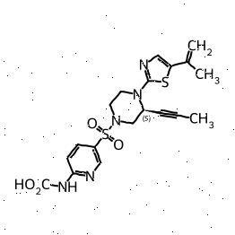 C=C(C)c1cnc(N2CCN(S(=O)(=O)c3ccc(NC(=O)O)nc3)C[C@@H]2C#CC)s1